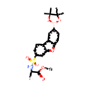 CC(C)C(NS(=O)(=O)c1ccc2c(c1)oc1ccc(B3OC(C)(C)C(C)(C)O3)cc12)C(=O)OC(C)(C)C